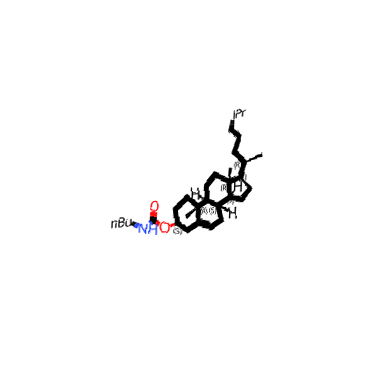 CCCCNC(=O)O[C@H]1CC[C@@]2(C)C(=CC[C@H]3[C@@H]4CC[C@H]([C@H](C)CCCC(C)C)[C@@]4(C)CC[C@@H]32)C1